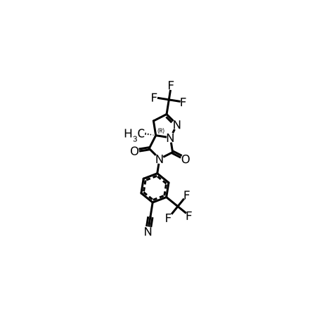 C[C@]12CC(C(F)(F)F)=NN1C(=O)N(c1ccc(C#N)c(C(F)(F)F)c1)C2=O